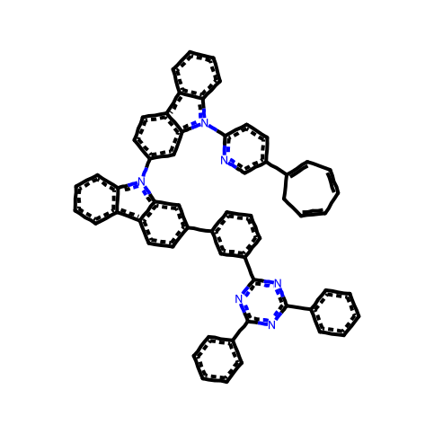 C1=CC=C(c2ccc(-n3c4ccccc4c4ccc(-n5c6ccccc6c6ccc(-c7cccc(-c8nc(-c9ccccc9)nc(-c9ccccc9)n8)c7)cc65)cc43)nc2)CC=C1